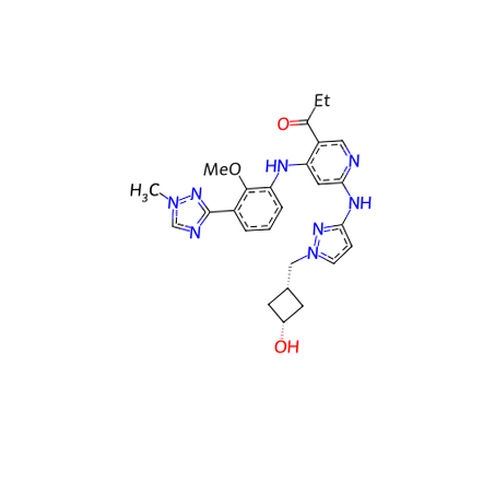 CCC(=O)c1cnc(Nc2ccn(C[C@H]3C[C@@H](O)C3)n2)cc1Nc1cccc(-c2ncn(C)n2)c1OC